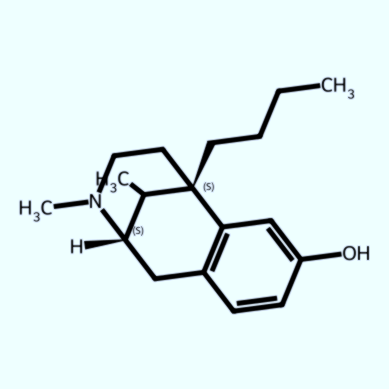 CCCC[C@@]12CCN(C)[C@@H](Cc3ccc(O)cc31)C2C